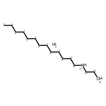 CCCCCCCCCCCCCNCCO.I